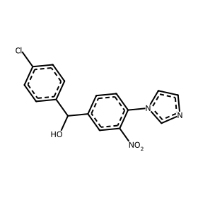 O=[N+]([O-])c1cc(C(O)c2ccc(Cl)cc2)ccc1-n1ccnc1